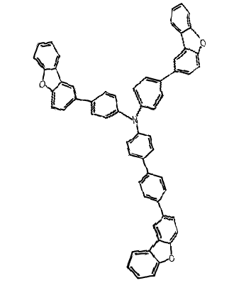 c1ccc2c(c1)oc1ccc(-c3ccc(-c4ccc(N(c5ccc(-c6ccc7oc8ccccc8c7c6)cc5)c5ccc(-c6ccc7oc8ccccc8c7c6)cc5)cc4)cc3)cc12